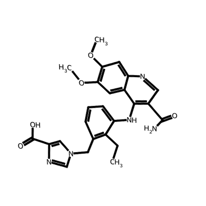 CCc1c(Cn2cnc(C(=O)O)c2)cccc1Nc1c(C(N)=O)cnc2cc(OC)c(OC)cc12